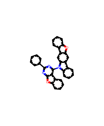 c1ccc(-c2nc(-n3c4ccccc4c4cc5oc6ccccc6c5cc43)c3c(n2)oc2ccccc23)cc1